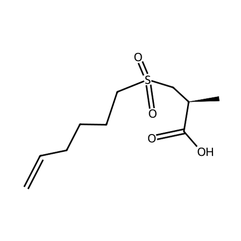 C=CCCCCS(=O)(=O)C[C@@H](C)C(=O)O